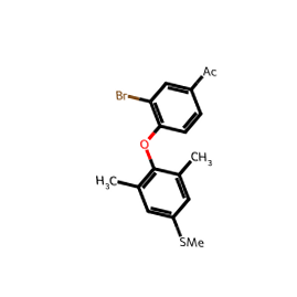 CSc1cc(C)c(Oc2ccc(C(C)=O)cc2Br)c(C)c1